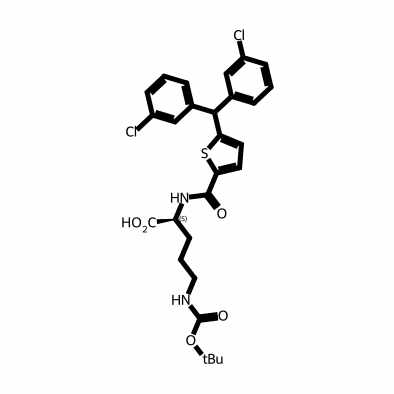 CC(C)(C)OC(=O)NCCC[C@H](NC(=O)c1ccc(C(c2cccc(Cl)c2)c2cccc(Cl)c2)s1)C(=O)O